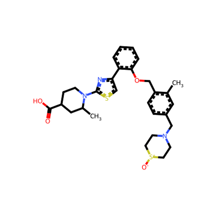 Cc1cc(CN2CC[S+]([O-])CC2)ccc1COc1ccccc1-c1csc(N2CCC(C(=O)O)CC2C)n1